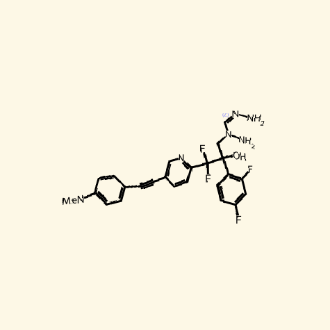 CNc1ccc(C#Cc2ccc(C(F)(F)C(O)(CN(N)/C=N\N)c3ccc(F)cc3F)nc2)cc1